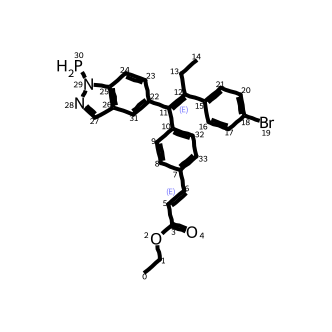 CCOC(=O)/C=C/c1ccc(/C(=C(/CC)c2ccc(Br)cc2)c2ccc3c(cnn3P)c2)cc1